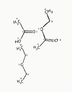 CC(=O)O.CCOC(C)=O.CCOCC